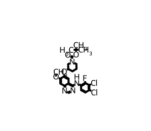 COc1cc2ncnc(Nc3ccc(Cl)c(Cl)c3F)c2cc1OC1CCCN(C(=O)OC(C)(C)C)C1